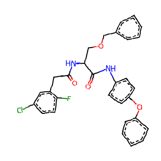 O=C(Cc1cc(Cl)ccc1F)NC(COCc1ccccc1)C(=O)Nc1ccc(Oc2ccccc2)cc1